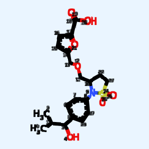 CC(C)C(O)c1ccc(N2C(COCc3ccc(C(=O)O)o3)CCS2(=O)=O)cc1